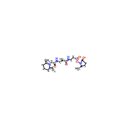 C=C1CCC(=O)N1O[13C](=O)CCN[13C](=O)[13CH2][13CH2]N[13C](=O)CN1C(C)CCCC1C